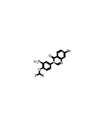 Nc1cc(-n2cnc3cc(Br)ccc3c2=O)ccc1OC(F)F